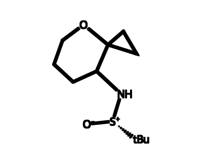 CC(C)(C)[S@+]([O-])NC1CCCOC12CC2